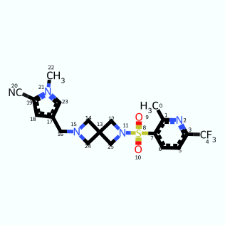 Cc1nc(C(F)(F)F)ccc1S(=O)(=O)N1CC2(CN(Cc3cc(C#N)n(C)c3)C2)C1